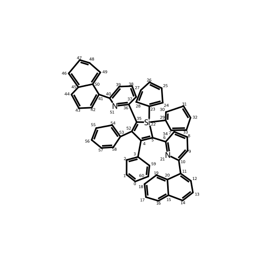 c1ccc(C2=C(c3cccc(-c4cccc5ccccc45)n3)[Si](c3ccccc3)(c3ccccc3)C(c3cccc(-c4cccc5ccccc45)n3)=C2c2ccccc2)cc1